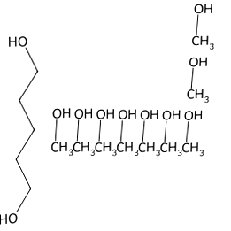 CO.CO.CO.CO.CO.CO.CO.CO.CO.OCCCCCO